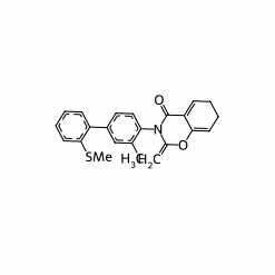 C=C1OC2=CCCC=C2C(=O)N1c1ccc(-c2ccccc2SC)cc1C